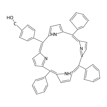 OCc1ccc(-c2c3nc(c(-c4ccccc4)c4ccc([nH]4)c(-c4ccccc4)c4nc(c(-c5ccccc5)c5ccc2[nH]5)C=C4)C=C3)cc1